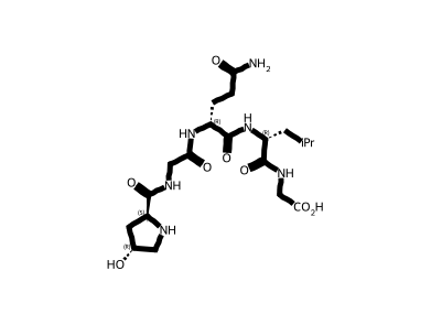 CC(C)C[C@@H](NC(=O)[C@@H](CCC(N)=O)NC(=O)CNC(=O)[C@@H]1C[C@@H](O)CN1)C(=O)NCC(=O)O